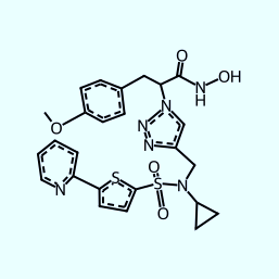 COc1ccc(CC(C(=O)NO)n2cc(CN(C3CC3)S(=O)(=O)c3ccc(-c4ccccn4)s3)nn2)cc1